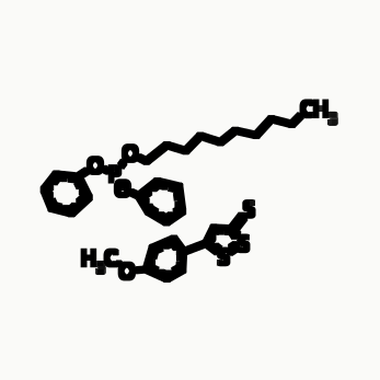 CCCCCCCCCCOP(Oc1ccccc1)Oc1ccccc1.COc1ccc(-c2cc(=S)ss2)cc1